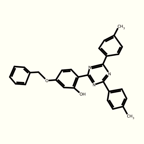 Cc1ccc(-c2nc(-c3ccc(C)cc3)nc(-c3ccc(OCc4ccccc4)cc3O)n2)cc1